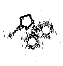 C1=Cc2cc3ccc([nH]3)c3ccc(cc4nc(cc5ccc(cc1n2)[nH]5)C=C4)[nH]3.CS(=O)(=O)OCCCCOS(C)(=O)=O.Cc1c2oc3c(C)ccc(C(=O)N[C@@H]4C(=O)N[C@H](C(C)C)C(=O)N5CCC[C@H]5C(=O)N(C)CC(=O)N(C)[C@@H](C(C)C)C(=O)O[C@@H]4C)c3nc-2c(C(=O)N[C@@H]2C(=O)N[C@H](C(C)C)C(=O)N3CCC[C@H]3C(=O)N(C)CC(=O)N(C)[C@@H](C(C)C)C(=O)O[C@@H]2C)c(N)c1=O